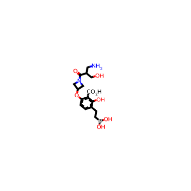 NCC(CO)C(=O)N1CC(Oc2ccc(CCB(O)O)c(O)c2C(=O)O)C1